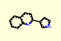 [c]1[nH]ccc1-c1ccc2ccccc2n1